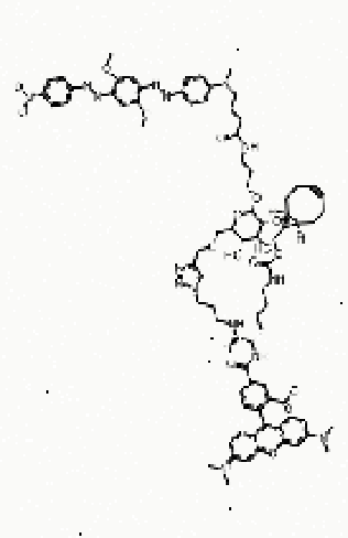 COc1cc(/N=N/c2ccc([N+](=O)[O-])cc2)c(OC)cc1/N=N/c1ccc(N(C)CCCC(=O)NCCCO[C@@H]2O[C@H](COCc3cn(CCCNC(=O)[C@H](CCCCNC(=O)OCC4[C@H]5CCC#CCC[C@@H]45)NC(=O)c4ccc(-c5c6ccc(=[N+](C)C)cc-6oc6cc(N(C)C)ccc56)c(C(=O)[O-])c4)nn3)[C@@H](O)[C@H](O)[C@H]2O)cc1